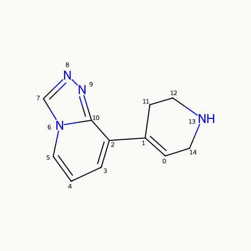 C1=C(c2cccn3cnnc23)CCNC1